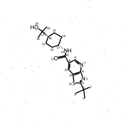 CC(C)(C)c1nc2ncc(C(=O)N[C@H]3CC[C@H](C(C)(C)O)CC3)cc2s1